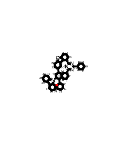 c1ccc(-c2nc(-c3ccccc3)nc(-c3cccc4oc5ccc(-c6ccc(-c7ccccc7)c(-n7c8ccccc8c8ccccc87)c6)cc5c34)n2)cc1